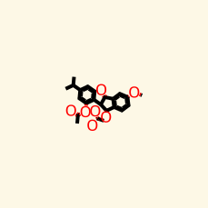 COc1ccc2c(c1)C(=O)C(OC(C)=O)(c1ccc(C(C)C)cc1OC(C)=O)C2=O